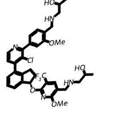 COc1cc(-c2nccc(-c3cccc4c3CC[C@H]4Oc3nc(OC)c(CNCC(C)O)cc3C(F)(F)F)c2Cl)ccc1CNCC(C)O